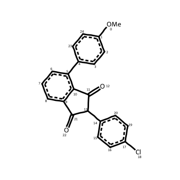 COc1ccc(-c2cccc3c2C(=O)C(c2ccc(Cl)cc2)C3=O)cc1